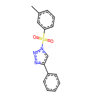 Cc1cccc(S(=O)(=O)n2cc(-c3ccccc3)nn2)c1